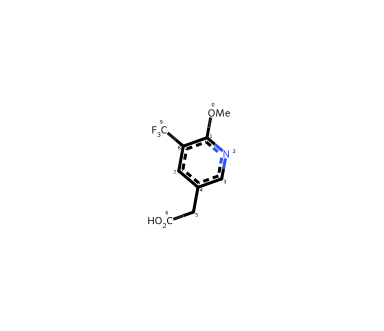 COc1ncc(CC(=O)O)cc1C(F)(F)F